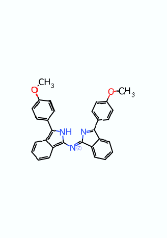 COc1ccc(C2=N/C(=N\c3[nH]c(-c4ccc(OC)cc4)c4ccccc34)c3ccccc32)cc1